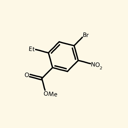 CCc1cc(Br)c([N+](=O)[O-])cc1C(=O)OC